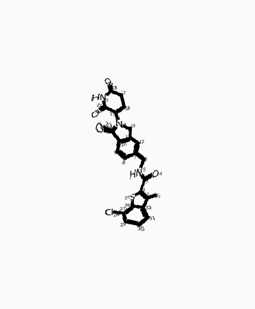 Cc1c(C(=O)NCc2ccc3c(c2)CN(C2CCC(=O)NC2=O)C3=O)sc2c(Cl)cccc12